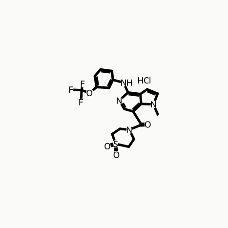 Cl.Cn1ccc2c(Nc3cccc(OC(F)(F)F)c3)ncc(C(=O)N3CCS(=O)(=O)CC3)c21